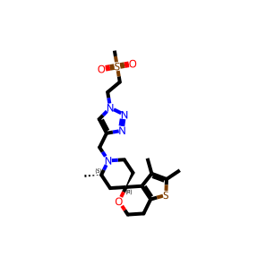 Cc1sc2c(c1C)[C@]1(CCN(Cc3cn(CCS(C)(=O)=O)nn3)[C@@H](C)C1)OCC2